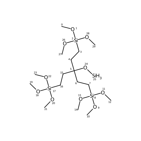 CO[Si](CCC(CC[Si](OC)(OC)OC)(CC[Si](OC)(OC)OC)O[SiH3])(OC)OC